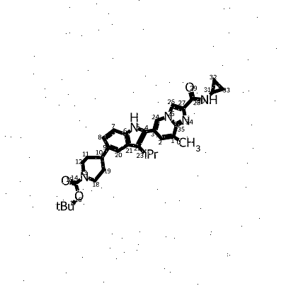 Cc1cc(-c2[nH]c3ccc(C4CCN(C(=O)OC(C)(C)C)CC4)cc3c2C(C)C)cn2cc(C(=O)NC3CC3)nc12